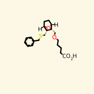 O=C(O)CCCCOC[C@@H]1[C@H](CSCc2ccccc2)[C@@H]2CC[C@H]1O2